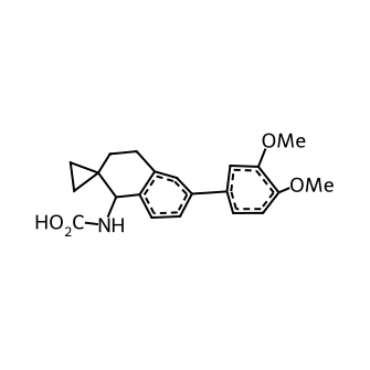 COc1ccc(-c2ccc3c(c2)CCC2(CC2)C3NC(=O)O)cc1OC